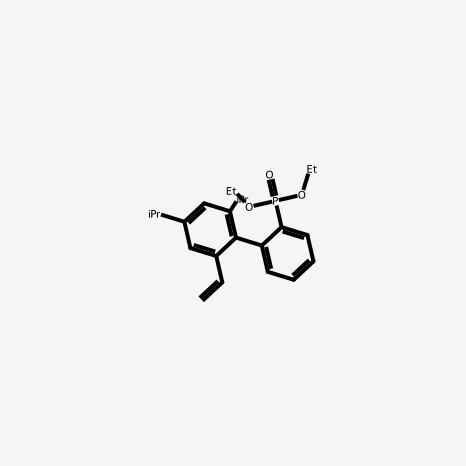 C=Cc1cc(C(C)C)cc(C(C)C)c1-c1ccccc1P(=O)(OCC)OCC